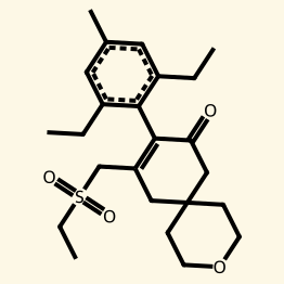 CCc1cc(C)cc(CC)c1C1=C(CS(=O)(=O)CC)CC2(CCOCC2)CC1=O